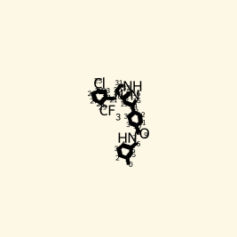 Cc1cccc(CNC(=O)c2ccc(-c3cnc4c(c3)N(Cc3cc(Cl)ccc3C(F)(F)F)CCN4)cc2)c1